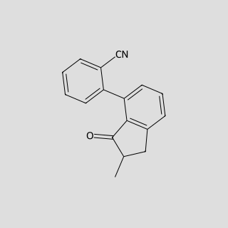 CC1Cc2cccc(-c3ccccc3C#N)c2C1=O